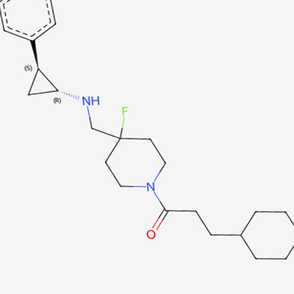 O=C(CCC1CCCCC1)N1CCC(F)(CN[C@@H]2C[C@H]2c2ccccc2)CC1